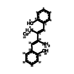 NC(=Cc1ccccc1O)C(N)=Cc1ccccc1O.[Cu]